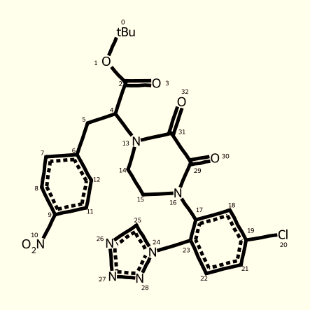 CC(C)(C)OC(=O)C(Cc1ccc([N+](=O)[O-])cc1)N1CCN(c2cc(Cl)ccc2-n2cnnn2)C(=O)C1=O